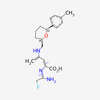 C=C(/C=C(\N=C(/N)CF)C(=O)O)NC[C@H]1CCC[C@@H](c2ccc(C)cc2)O1